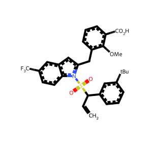 C=CC(c1cccc(C(C)(C)C)c1)S(=O)(=O)n1c(Cc2cccc(C(=O)O)c2OC)cc2cc(C(F)(F)F)ccc21